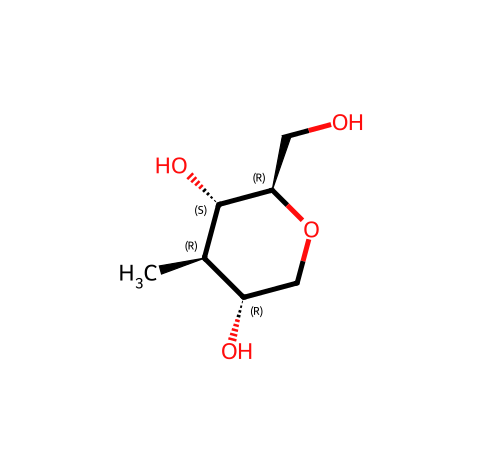 C[C@H]1[C@H](O)[C@@H](CO)OC[C@@H]1O